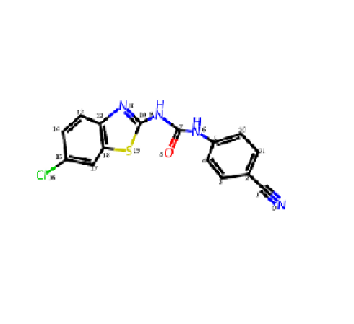 N#Cc1ccc(NC(=O)Nc2nc3ccc(Cl)cc3s2)cc1